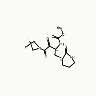 CC(C)(C)OC(=O)N[C@@H](C[C@@H]1CCCNC1=O)C(=O)C(=O)N1CC(F)(F)C1